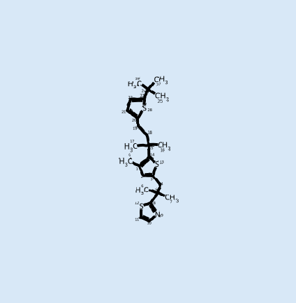 Cc1cc(CC(C)(C)c2nccs2)sc1C(C)(C)CCc1ccc(C(C)(C)C)s1